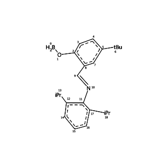 BOc1ccc(C(C)(C)C)cc1/C=N/c1c(C(C)C)cccc1C(C)C